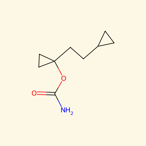 NC(=O)OC1(CCC2CC2)CC1